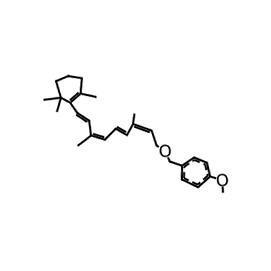 COc1ccc(COCC=C(C)C=CC=C(C)C=CC2=C(C)CCCC2(C)C)cc1